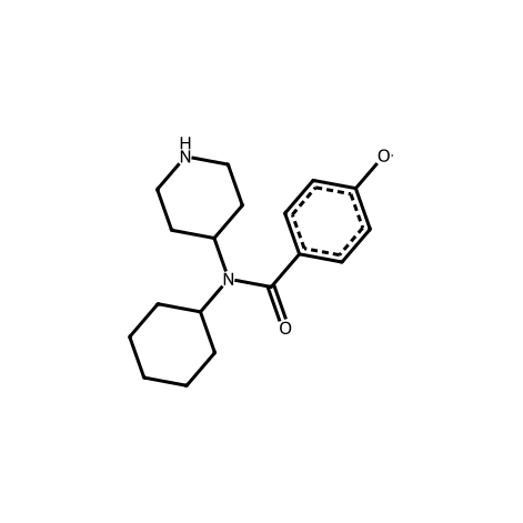 [O]c1ccc(C(=O)N(C2CCCCC2)C2CCNCC2)cc1